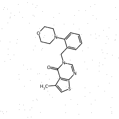 Cc1csc2ncn(Cc3ccccc3N3CCOCC3)c(=O)c12